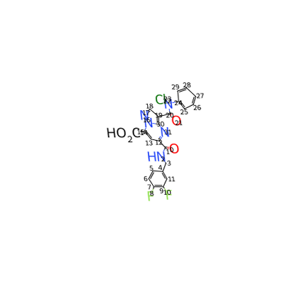 O=C(NCc1ccc(F)c(F)c1)c1cc(C(=O)O)n2ncc(C(=O)N(Cl)c3ccccc3)c2n1